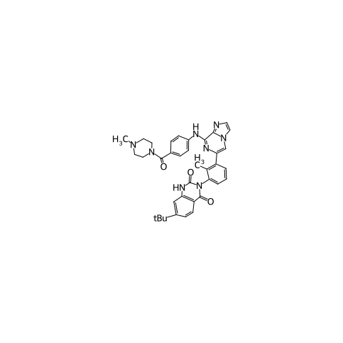 Cc1c(-c2cn3ccnc3c(Nc3ccc(C(=O)N4CCN(C)CC4)cc3)n2)cccc1-n1c(=O)[nH]c2cc(C(C)(C)C)ccc2c1=O